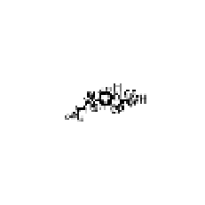 CN(C)CCCS(=O)(=O)c1ccc(NC(=O)[C@@](C)(O)C(F)(F)F)c(Cl)c1